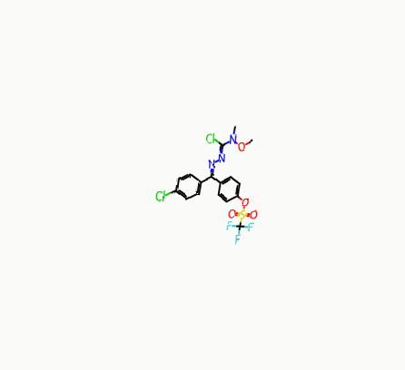 CON(C)C(Cl)=NN=C(c1ccc(Cl)cc1)c1ccc(OS(=O)(=O)C(F)(F)F)cc1